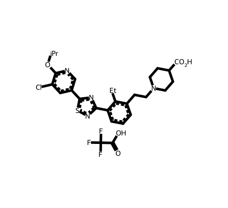 CCc1c(CCN2CCC(C(=O)O)CC2)cccc1-c1nsc(-c2cnc(OC(C)C)c(Cl)c2)n1.O=C(O)C(F)(F)F